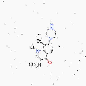 CCc1c(N2CCNCC2)ccc2c(=O)c(C(=O)O)cn(CC)c12